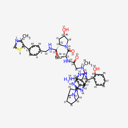 Cc1ncsc1-c1ccc(CNC(=O)[C@@H]2C[C@@H](O)CN2C(=O)[C@@H](NC(=O)CN(C)Cc2cnc(N3C4CCC3CN(c3cc(-c5ccccc5O)nnc3N)C4)nc2)C(C)(C)C)cc1